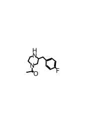 CC(=O)N1CCNC(Cc2ccc(F)cc2)C1